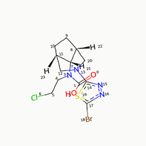 O=C(O)N(CCCl)[C@H]1[C@@H]2CC[C@H]1CN(c1nnc(Br)s1)C2